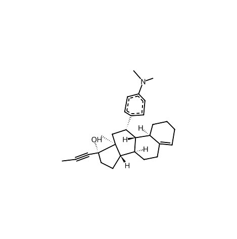 CC#C[C@]1(O)CC[C@H]2[C@@H]3CCC4=CCCC[C@@H]4[C@H]3[C@@H](c3ccc(N(C)C)cc3)C[C@@]21C